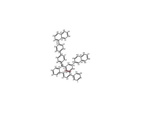 c1ccc(-c2ccc(-c3ccccc3N(c3ccc(-c4ccc(-c5cccc6ccccc56)cc4)cc3)c3cccc(-c4ccc5ccccc5c4)c3)cc2)cc1